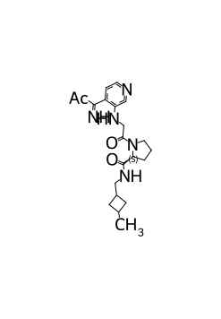 CC(=O)C(=N)c1ccncc1NCC(=O)N1CCC[C@H]1C(=O)NCC1CC(C)C1